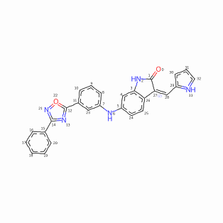 O=C1Nc2cc(Nc3cccc(-c4nc(-c5ccccc5)no4)c3)ccc2/C1=C/c1ccc[nH]1